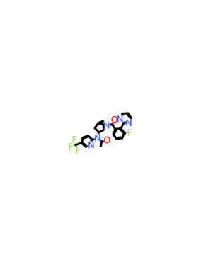 CC(=O)N(c1ccc(C(F)(F)F)cn1)C1CC2CC1N(C(=O)c1cccc(F)c1-c1ncccn1)C2